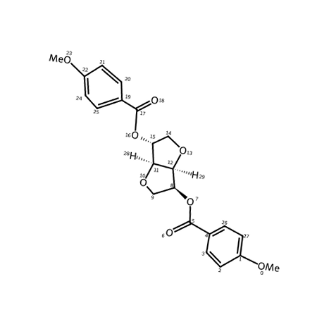 COc1ccc(C(=O)O[C@H]2CO[C@@H]3[C@H]2OC[C@H]3OC(=O)c2ccc(OC)cc2)cc1